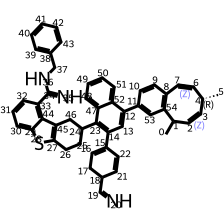 CC1/C=C\[C@@H](C)/C=C\c2ccc(-c3cc(C4=CCC(C=N)C=C4)c(C4CCc5sc6cccc(C(=N)NCc7ccccc7)c6c5C4)c4ccccc34)cc21